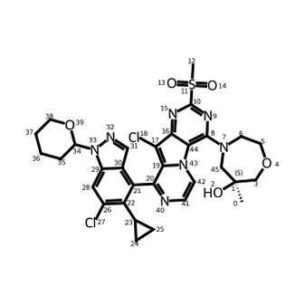 C[C@@]1(O)COCCN(c2nc(S(C)(=O)=O)nc3c(Cl)c4c(-c5c(C6CC6)c(Cl)cc6c5cnn6C5CCCCO5)nccn4c23)C1